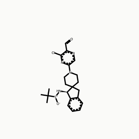 CC(C)(C)[S+]([O-])N[C@@H]1c2ccccc2CC12CCN(c1cnc(C=O)c(Cl)n1)CC2